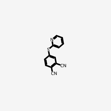 N#Cc1ccc(Sc2ccccn2)cc1C#N